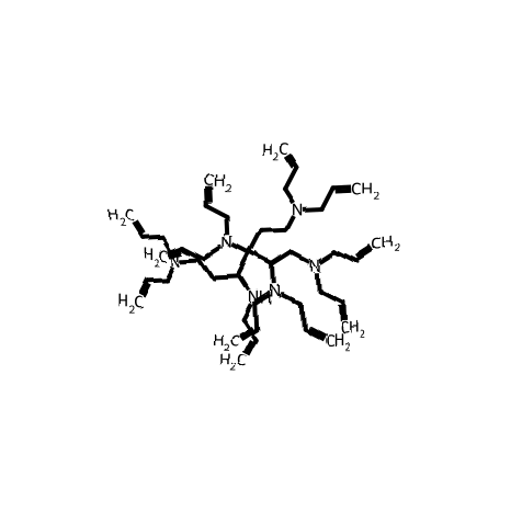 C=CCNC(CCN(CC=C)CC=C)C(CCN(CC=C)CC=C)(C(CN(CC=C)CC=C)N(CC=C)CC=C)N(CC=C)CC=C